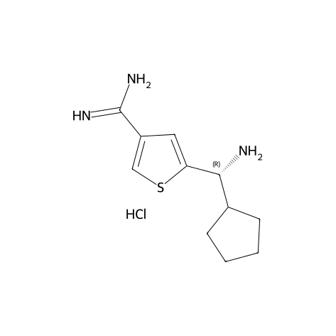 Cl.N=C(N)c1csc([C@H](N)C2CCCC2)c1